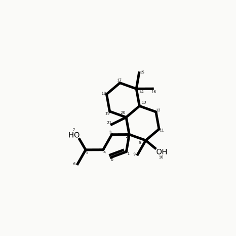 C=CC1(CCC(C)O)C(C)(O)CCC2C(C)(C)CCCC21C